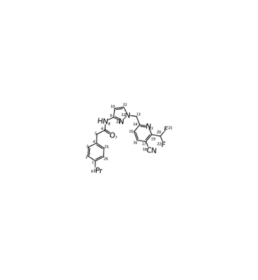 CC(C)c1ccc(CC(=O)Nc2ccn(Cc3ccc(C#N)c(C(F)F)n3)n2)cc1